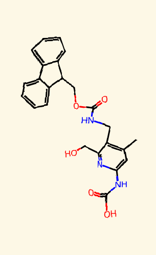 Cc1cc(NC(=O)O)nc(CO)c1CNC(=O)OCC1c2ccccc2-c2ccccc21